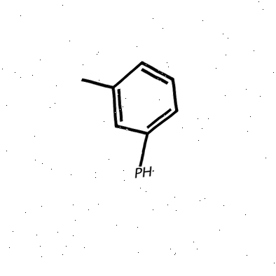 Cc1cccc([PH])c1